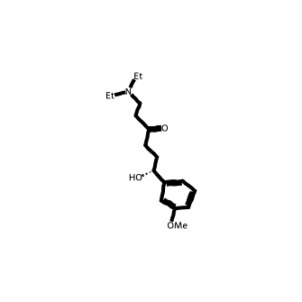 CCN(CC)CCC(=O)CC[C@@H](O)c1cccc(OC)c1